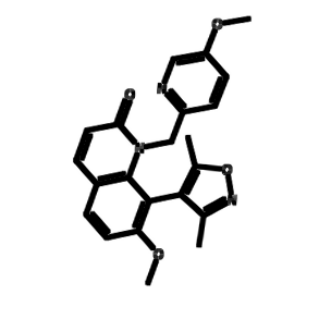 COc1ccc(Cn2c(=O)ccc3ccc(OC)c(-c4c(C)noc4C)c32)nc1